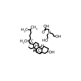 CC(C)CCC[C@@H](C)[C@H]1CC[C@H]2[C@@H]3CC=C4C[C@@H](O)CC[C@]4(C)[C@H]3CC[C@]12C.O=C(O)CN(CCO)CCO